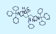 COC(=O)C(Cc1cn(C(c2ccccc2)(c2ccccc2)c2ccccc2)cn1)(Cc1cn(C(c2ccccc2)(c2ccccc2)c2ccccc2)cn1)/N=C/c1ccccc1